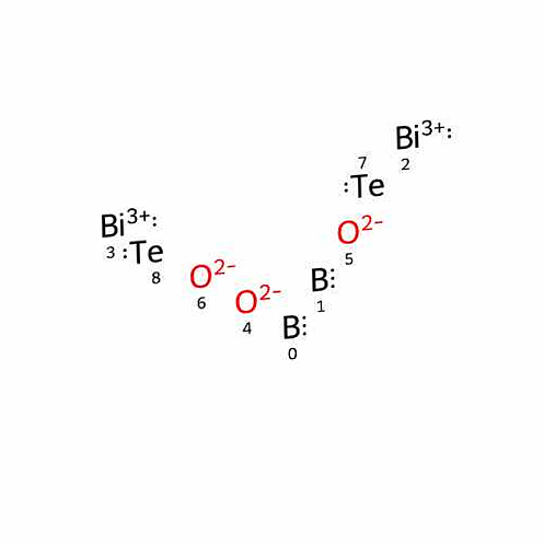 [B].[B].[Bi+3].[Bi+3].[O-2].[O-2].[O-2].[Te].[Te]